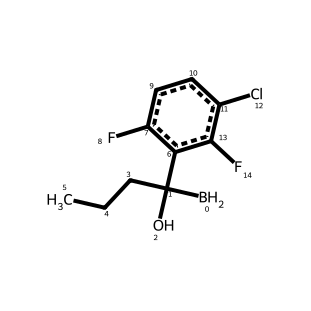 BC(O)(CCC)c1c(F)ccc(Cl)c1F